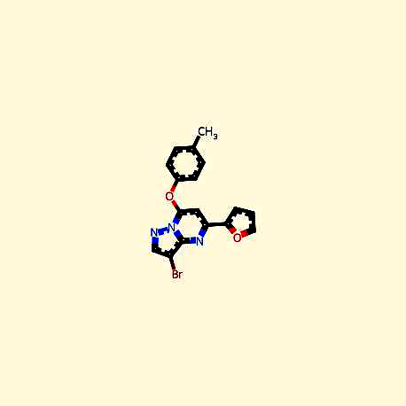 Cc1ccc(Oc2cc(-c3ccco3)nc3c(Br)cnn23)cc1